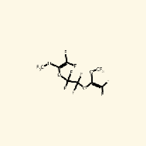 FC(F)=C(OC(F)(F)F)OC(F)(F)C(F)(F)OC(OC(F)(F)F)=C(F)F